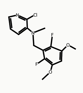 COc1cc(OC)c(F)c(CN(C)c2cccnc2Cl)c1F